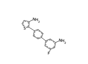 Nc1cc(F)cc(-c2ccc(-c3sccc3N)cc2)c1